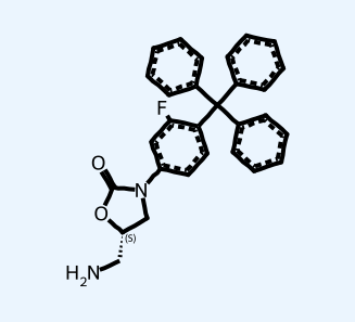 NC[C@H]1CN(c2ccc(C(c3ccccc3)(c3ccccc3)c3ccccc3)c(F)c2)C(=O)O1